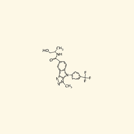 CC(CO)NC(=O)c1ccc2c(c1)c1nnn(C)c1n2-c1ccc(C(F)(F)F)cc1